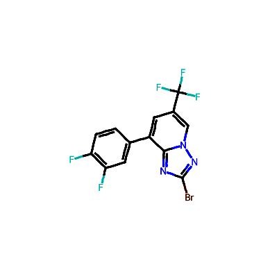 Fc1ccc(-c2cc(C(F)(F)F)cn3nc(Br)nc23)cc1F